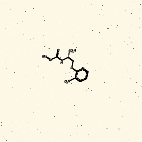 CC(C)(C)OC(=O)N[C@@H](COc1ncccc1[N+](=O)[O-])C(=O)O